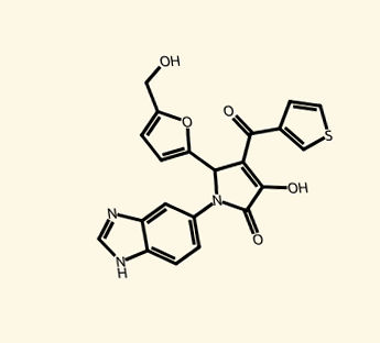 O=C(C1=C(O)C(=O)N(c2ccc3[nH]cnc3c2)C1c1ccc(CO)o1)c1ccsc1